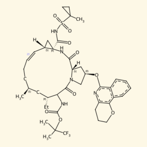 CC[C@@H]1C[C@@H](C)CC/C=C\[C@@H]2C[C@@]2(C(=O)NS(=O)(=O)C2(C)CC2)NC(=O)[C@@H]2C[C@@H](Oc3nc4c(c5ccccc35)OCCC4)CN2C(=O)C1NC(=O)OC(C)(C)C(F)(F)F